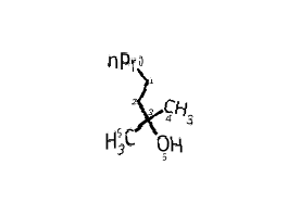 CCC[CH]CC(C)(C)O